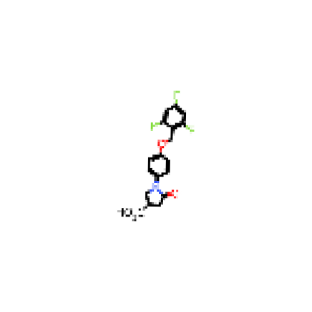 O=C(O)[C@@H]1CC(=O)N(c2ccc(OCc3c(F)cc(F)cc3F)cc2)C1